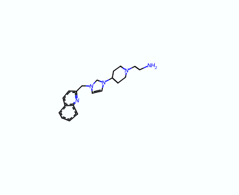 NCCN1CCC(N2C=CN(Cc3ccc4ccccc4n3)C2)CC1